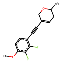 CCCC1CC=C(C#Cc2ccc(OCC)c(F)c2F)CO1